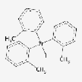 Cc1cccc[c]1[Zr]([I])([c]1ccccc1C)[c]1ccccc1C